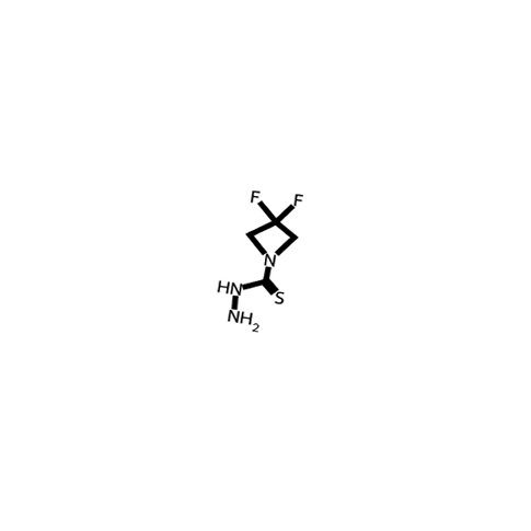 NNC(=S)N1CC(F)(F)C1